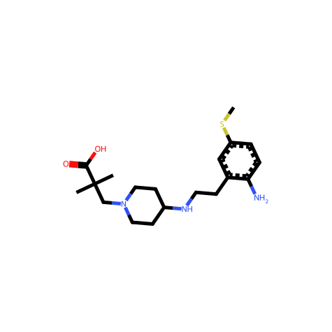 CSc1ccc(N)c(CCNC2CCN(CC(C)(C)C(=O)O)CC2)c1